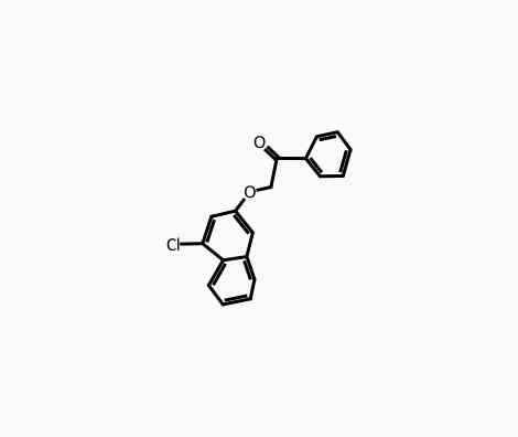 O=C(COc1cc(Cl)c2ccccc2c1)c1ccccc1